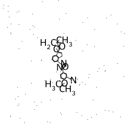 C=C(C)C(=O)OC1=CCc2c1cccc2-c1noc(-c2ccc(OC(C)C)c(C#N)c2)n1